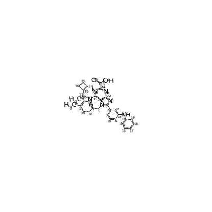 CC1=CC=C(Cn2c(C3=C=C=CC(Nc4ccccc4)=C3)nc3nc(C(=O)O)nc(N[C@H](C)C4CCC4)c32)CC1